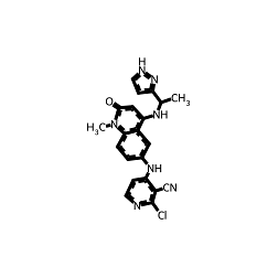 CC(Nc1cc(=O)n(C)c2ccc(Nc3ccnc(Cl)c3C#N)cc12)c1cc[nH]n1